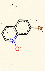 [O-][n+]1cccc2ccc(Br)cc21